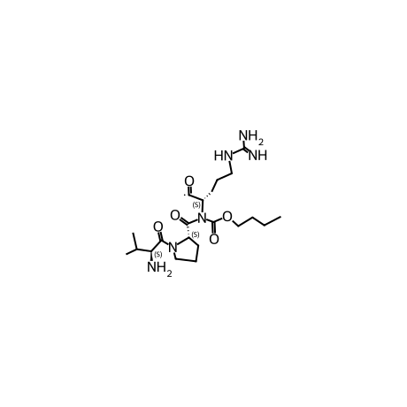 CCCCOC(=O)N(C(=O)[C@@H]1CCCN1C(=O)[C@@H](N)C(C)C)[C@H]([C]=O)CCCNC(=N)N